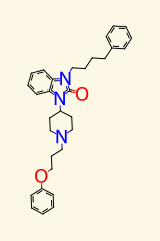 O=c1n(CCCCc2ccccc2)c2ccccc2n1C1CCN(CCCOc2ccccc2)CC1